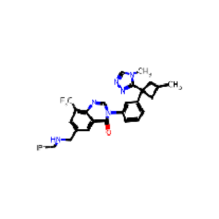 CC(C)CNCc1cc(C(F)(F)F)c2ncn(-c3cccc(C4(c5nncn5C)CC(C)C4)c3)c(=O)c2c1